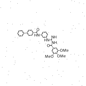 COc1cc(C(=O)NC(=N)Nc2cccc(NC(=O)c3ccc(-c4ccccc4)cc3)c2)cc(OC)c1OC